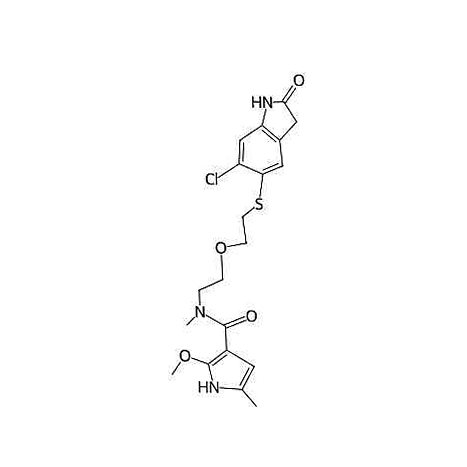 COc1[nH]c(C)cc1C(=O)N(C)CCOCCSc1cc2c(cc1Cl)NC(=O)C2